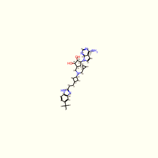 CC(C)(C)c1ccc2[nH]c(CCC3CC(N(CC4CC4)CC4CC(n5ccc6c(N)ncnc65)C(O)C4O)C3)nc2c1